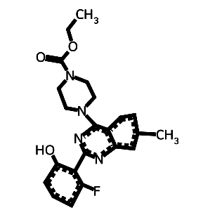 CCOC(=O)N1CCN(c2nc(-c3c(O)cccc3F)nc3cc(C)ccc23)CC1